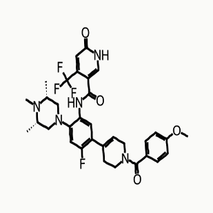 COc1ccc(C(=O)N2CC=C(c3cc(NC(=O)c4c[nH]c(=O)cc4C(F)(F)F)c(N4C[C@@H](C)N(C)[C@@H](C)C4)cc3F)CC2)cc1